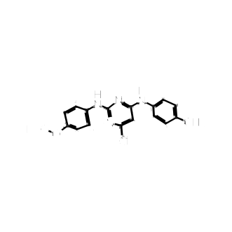 COc1ccc(Nc2nc(Cl)cc(Nc3ccc(C)cc3)n2)cc1